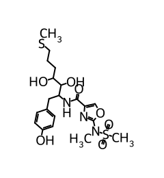 CSCCCC(O)C(O)C(Cc1ccc(O)cc1)NC(=O)c1coc(N(C)S(C)(=O)=O)n1